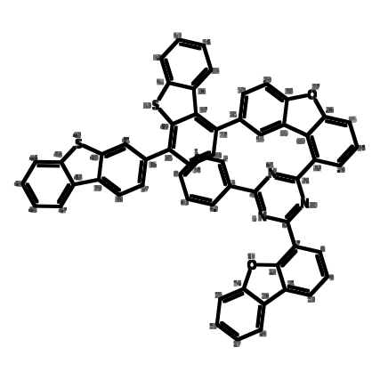 c1ccc(-c2nc(-c3cccc4c3oc3ccccc34)nc(-c3cccc4oc5ccc(-c6ccc(-c7ccc8c(c7)sc7ccccc78)c7sc8ccccc8c67)cc5c34)n2)cc1